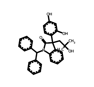 CC(C)(O)CC1(c2ccc(O)cc2O)C(=O)N(C(c2ccccc2)c2ccccc2)c2ccccc21